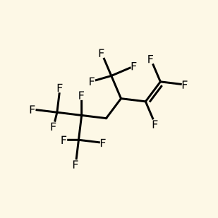 FC(F)=C(F)C(CC(F)(C(F)(F)F)C(F)(F)F)C(F)(F)F